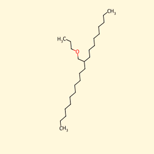 CCCCCCCCCCCC(CCCCCCCCC)COCCC